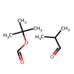 CC(C)(C)OC=O.CC(C)C=O